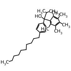 CCCCCCCCCCc1ccc(C(O)(c2c(C)c(C)c(C)c(C)c2C)C(C)C)cc1